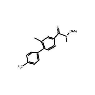 CON(C)C(=O)c1ccc(-c2ccc(C(F)(F)F)cc2)c(C)c1